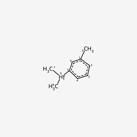 Cc1ccc[c]([Hf]([CH3])[CH3])c1